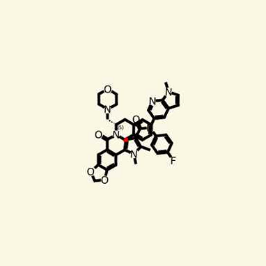 Cc1c(C(=O)N(c2ccc(F)cc2)c2cnc3c(ccn3C)c2)cc(-c2cc3c(cc2C(=O)N2Cc4ccccc4C[C@H]2CN2CCOCC2)OCO3)n1C